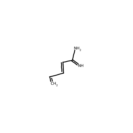 C=CC=CC(=N)N